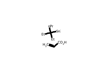 C=CC(=O)O.CCC[C]([Sn])(CC)CC